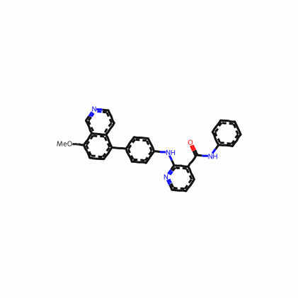 COc1ccc(-c2ccc(Nc3ncccc3C(=O)Nc3ccccc3)cc2)c2ccncc12